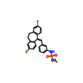 CS(=O)(=O)Nc1cccc(C=C2c3ccc(F)cc3CCc3cc(F)ccc32)c1